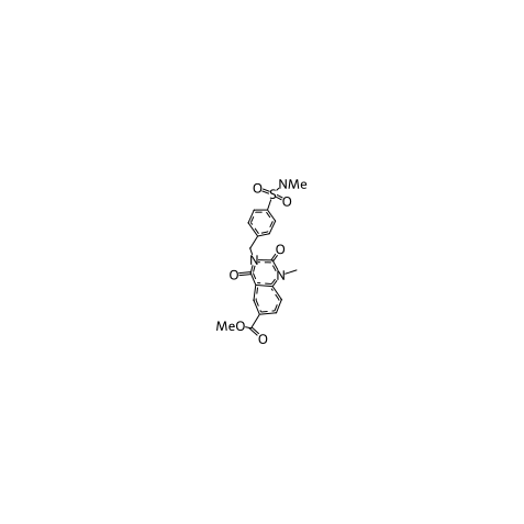 CNS(=O)(=O)c1ccc(Cn2c(=O)c3cc(C(=O)OC)ccc3n(C)c2=O)cc1